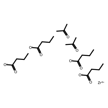 CC(C)=O.CC(C)=O.CCCC(=O)[O-].CCCC(=O)[O-].CCCC(=O)[O-].CCCC(=O)[O-].[Zr+4]